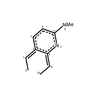 C/C=c1/ccc(NC)n/c1=C/C